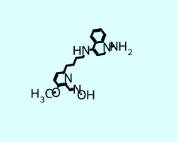 COc1ccc(CCCCNC2=CCN(N)c3ccccc32)nc1C=NO